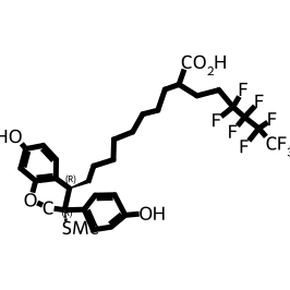 CS[C@]1(c2ccc(O)cc2)COc2cc(O)ccc2[C@H]1CCCCCCCCC(CCC(F)(F)C(F)(F)C(F)(F)C(F)(F)F)C(=O)O